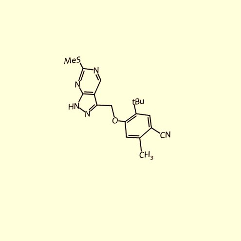 CSc1ncc2c(COc3cc(C)c(C#N)cc3C(C)(C)C)n[nH]c2n1